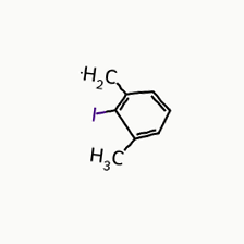 [CH2]c1cccc(C)c1I